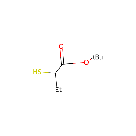 CCC(S)C(=O)OC(C)(C)C